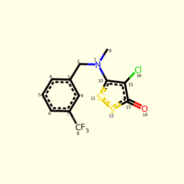 CN(Cc1cccc(C(F)(F)F)c1)c1ssc(=O)c1Cl